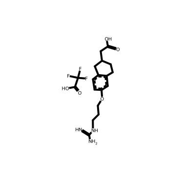 N=C(N)NCCCOc1ccc2c(c1)CCC(CC(=O)O)C2.O=C(O)C(F)(F)F